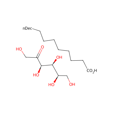 CCCCCCCCCCCCCCCCCC(=O)O.O=C(CO)[C@H](O)[C@@H](O)[C@H](O)CO